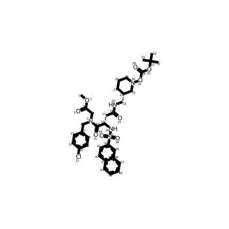 COC(=O)CN(Cc1ccc(Cl)cc1)C(=O)[C@H](CC(=O)NC[C@@H]1CCCN(OC(=O)OC(C)(C)C)C1)NS(=O)(=O)c1ccc2ccccc2c1